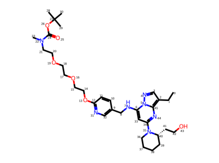 CCc1cnn2c(NCc3ccc(OCCOCCOCCN(C)C(=O)OC(C)(C)C)nc3)cc(N3CCCC[C@H]3CCO)nc12